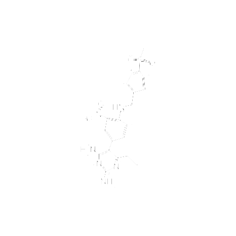 CCc1nc(N)nc(N)c1-c1ccc(NCc2ccc(S(C)(=O)=O)cc2)c([N+](=O)[O-])c1